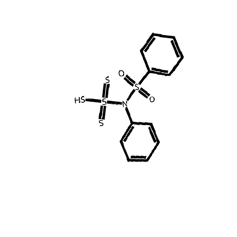 O=S(=O)(c1ccccc1)N(c1ccccc1)S(=S)(=S)S